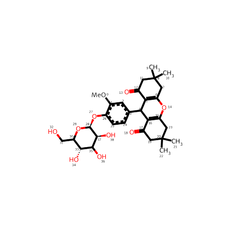 COc1cc(C2C3=C(CC(C)(C)CC3=O)OC3=C2C(=O)CC(C)(C)C3)ccc1O[C@@H]1OC(CO)[C@@H](O)C(O)[C@@H]1O